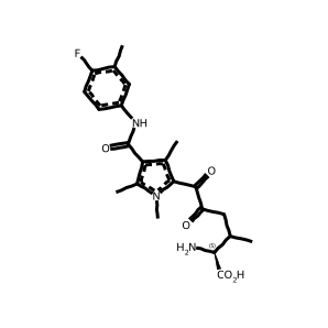 Cc1cc(NC(=O)c2c(C)c(C(=O)C(=O)CC(C)[C@H](N)C(=O)O)n(C)c2C)ccc1F